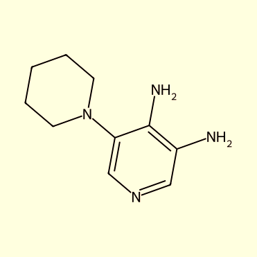 Nc1cncc(N2CCCCC2)c1N